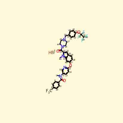 Br.CN(C(=O)c1ccc(C(F)(F)F)cc1)c1ccc(Oc2ccc3cc(C(=O)N4CCN(Cc5ccc(OC(F)(F)C(F)F)cc5)CC4)n(C)c3c2)nc1